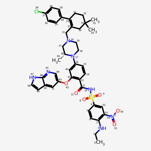 CCNc1ccc(S(=O)(=O)NC(=O)c2ccc(N3CCN(CC4=C(c5ccc(Cl)cc5)CCC(C)(C)C4)C[C@H]3C)cc2Oc2cnc3[nH]ccc3c2)cc1[N+](=O)[O-]